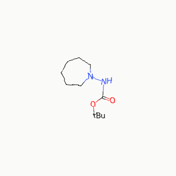 CC(C)(C)OC(=O)NN1CCCCCC1